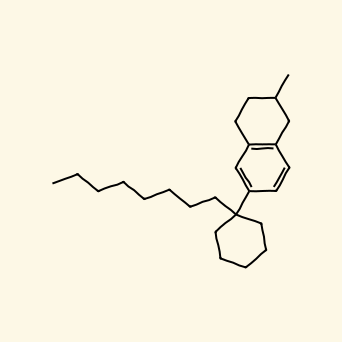 CCCCCCCCC1(c2ccc3c(c2)CCC(C)C3)CCCCC1